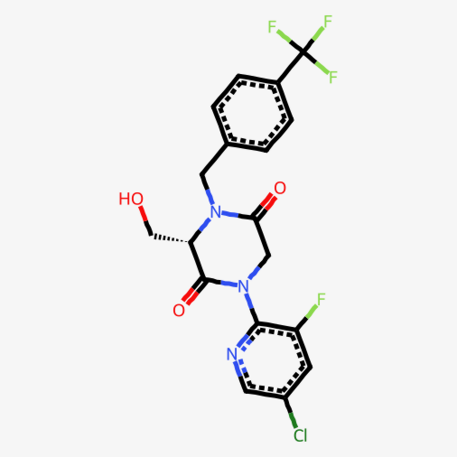 O=C1[C@H](CO)N(Cc2ccc(C(F)(F)F)cc2)C(=O)CN1c1ncc(Cl)cc1F